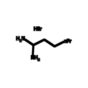 Br.CCCCCC(N)N